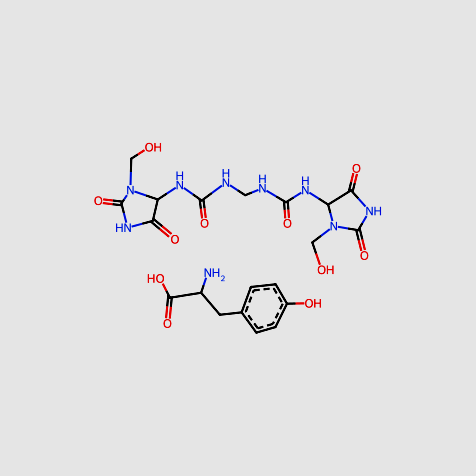 NC(Cc1ccc(O)cc1)C(=O)O.O=C(NCNC(=O)NC1C(=O)NC(=O)N1CO)NC1C(=O)NC(=O)N1CO